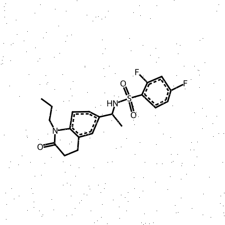 CCCN1C(=O)CCc2cc(C(C)NS(=O)(=O)c3ccc(F)cc3F)ccc21